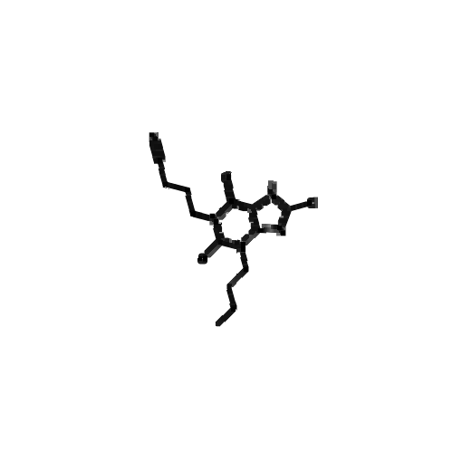 CCCCn1c(=O)n(CCCC#N)c(=O)c2[nH]c(Cl)nc21